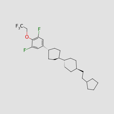 Fc1cc([C@H]2CC[C@H]([C@H]3CC[C@H](CCC4CCCC4)CC3)CC2)cc(F)c1OCC(F)(F)F